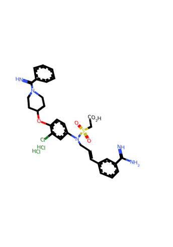 Cl.Cl.N=C(N)c1cccc(/C=C/CN(c2ccc(OC3CCN(C(=N)c4ccccc4)CC3)c(Cl)c2)S(=O)(=O)CC(=O)O)c1